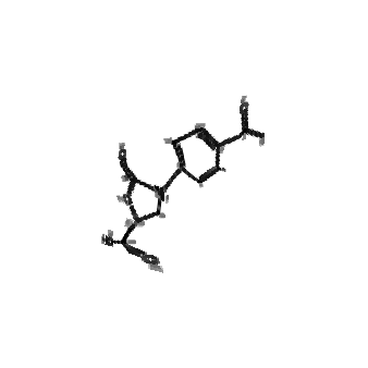 CC(=O)c1ccc(N2C[C@@H](C(=O)O)OC2=O)cc1